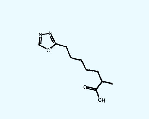 CC(CCCCCc1nnco1)C(=O)O